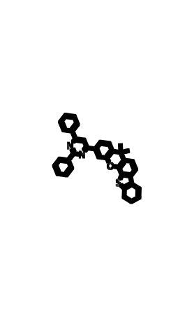 CC1(C)c2ccc(-c3cc(-c4ccccc4)nc(-c4ccccc4)n3)cc2Oc2c1ccc1c3c(sc21)CCC=C3